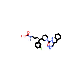 CNC[C@H](CC1CCCCC1)NC(=O)N1CCC[C@@H]([C@H](CCCNC(=O)O)c2cccc(F)c2)C1